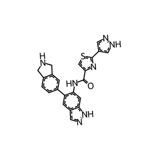 O=C(Nc1cc2[nH]ncc2cc1-c1ccc2c(c1)CNC2)c1csc(-c2cn[nH]c2)n1